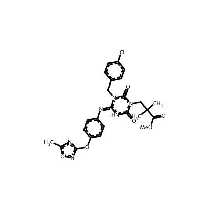 COC(=O)C(C)(C)Cn1c(=O)[nH]/c(=N\c2ccc(Oc3noc(C)n3)cc2)n(Cc2ccc(Cl)cc2)c1=O